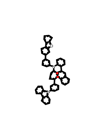 c1cc(-c2ccc3c(c2)oc2ccccc23)cc(N(c2ccc(-c3cccc(-n4c5ccccc5c5ccccc54)c3)cc2)c2ccccc2-c2ccc3ccccc3c2)c1